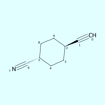 C#C[C@H]1CC[C@H](C#N)CC1